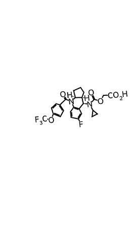 O=C(O)COC(=O)N(C1CC1)[C@H]1c2cc(F)ccc2N(C(=O)c2ccc(OC(F)(F)F)cc2)[C@H]2CCC[C@H]21